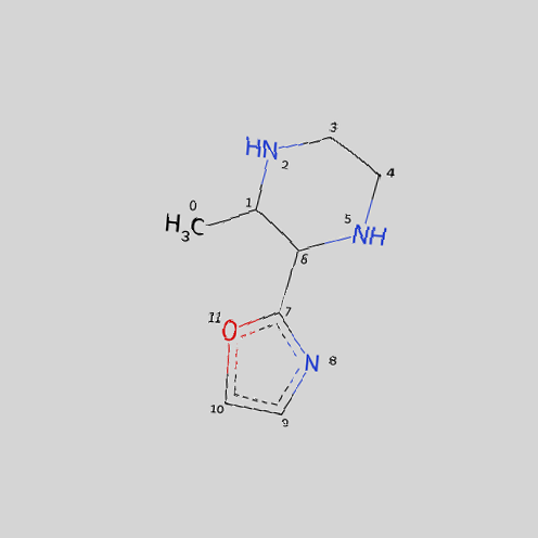 CC1NCCNC1c1ncco1